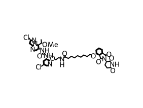 COC(C)c1c(NC(=O)Nc2cc(Cl)cnc2OCCNC(=O)CCCCCCCCOc2cccc3c2C(=O)N(C2CCC(=O)NC2=O)C3=O)cnc2cc(Cl)nn12